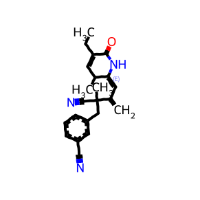 C=C(/C=C1/NC(=O)C(CC)=CC1C)C(C)(C#N)Cc1cccc(C#N)c1